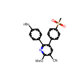 CCCCc1ccc(-c2nc(OC)c(C#N)cc2-c2ccc(S(C)(=O)=O)cc2)cc1